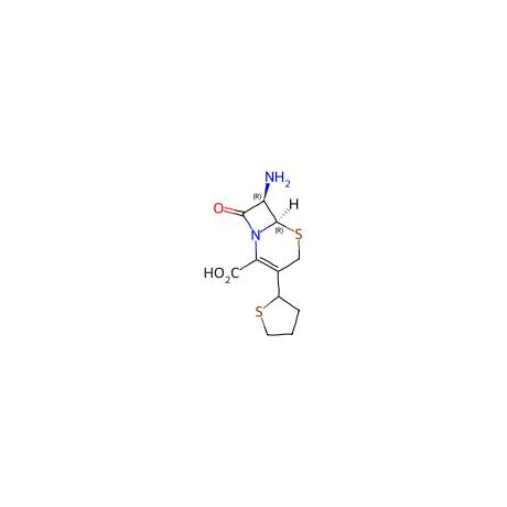 N[C@@H]1C(=O)N2C(C(=O)O)=C(C3CCCS3)CS[C@H]12